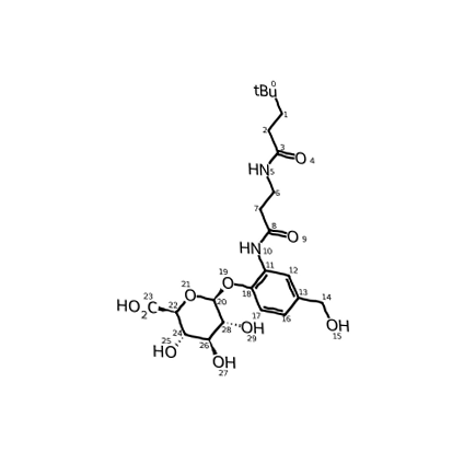 CC(C)(C)CCC(=O)NCCC(=O)Nc1cc(CO)ccc1O[C@@H]1O[C@H](C(=O)O)[C@@H](O)[C@H](O)[C@H]1O